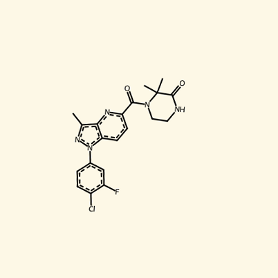 Cc1nn(-c2ccc(Cl)c(F)c2)c2ccc(C(=O)N3CCNC(=O)C3(C)C)nc12